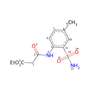 CCOC(=O)CC(=O)Nc1ccc(C)cc1S(N)(=O)=O